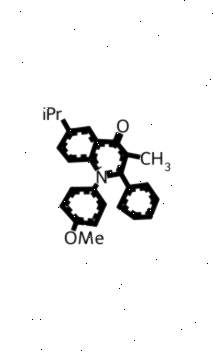 COc1ccc(-n2c(-c3ccccc3)c(C)c(=O)c3cc(C(C)C)ccc32)cc1